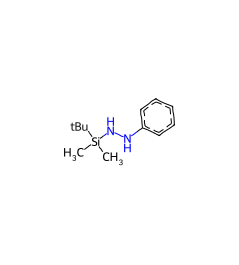 CC(C)(C)[Si](C)(C)NNc1ccccc1